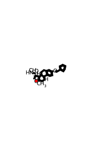 CNC(=O)[C@H]1CO[C@@]2(C)CC[C@@H]3c4ccc(OCc5ccccc5)cc4CC[C@H]3[C@H]12